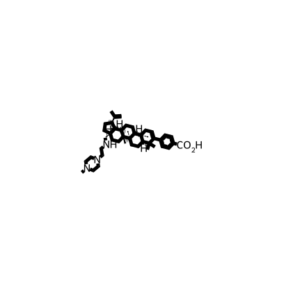 C=C(C)[C@@H]1CC[C@]2(CNCCN3CCN(C)CC3)CC[C@]3(C)[C@H](CC[C@@H]4[C@@]5(C)CC=C(c6ccc(C(=O)O)cc6)C(C)(C)[C@@H]5CC[C@]43C)[C@@H]12